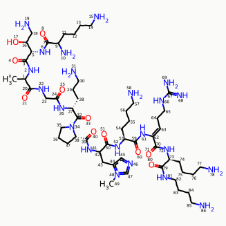 CC(NC(=O)[C@@H](NC(=O)C(N)CCCCN)[C@@H](O)CN)C(=O)NCC(=O)N[C@H](CCCN)C(=O)N1CCC[C@H]1C(=O)NC(Cc1cncn1C)C(=O)N[C@@H](CCCCN)C(=O)N/C(=C\CCNC(=N)N)C(=O)N[C@@H](CCCCN)C(=O)NCCCCN